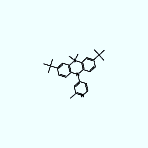 Cc1cc(N2c3ccc(C(C)(C)C)cc3S(C)(C)c3cc(C(C)(C)C)ccc32)ccn1